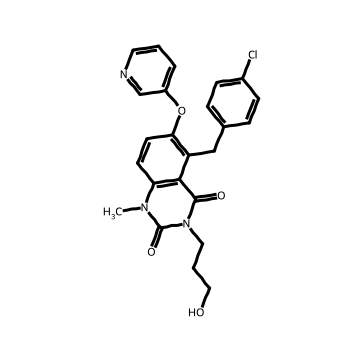 Cn1c(=O)n(CCCO)c(=O)c2c(Cc3ccc(Cl)cc3)c(Oc3cccnc3)ccc21